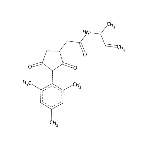 C=CC(C)NC(=O)CC1CC(=O)C(c2c(C)cc(C)cc2C)C1=O